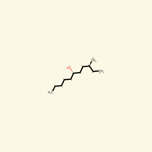 CCCCC[C@H](O)CC[C@@H](C)CC